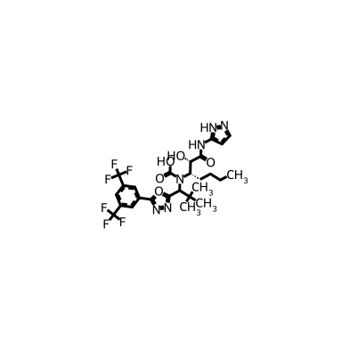 CCCC[C@@H]([C@H](O)C(=O)Nc1ccn[nH]1)N(C(=O)O)C(c1nnc(-c2cc(C(F)(F)F)cc(C(F)(F)F)c2)o1)C(C)(C)C